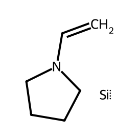 C=CN1CCCC1.[Si]